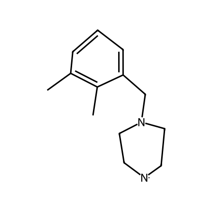 Cc1cccc(CN2CC[N]CC2)c1C